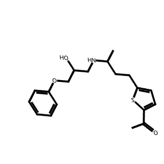 CC(=O)c1ccc(CCC(C)NCC(O)COc2ccccc2)s1